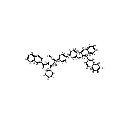 C=C=C(/N=C(\N=C(/C)c1ccc2ccccc2c1)c1ccccc1)c1ccc(-c2ccc3c(c2)oc2c(-c4ccc5ccccc5c4)c4ccccc4cc23)cc1